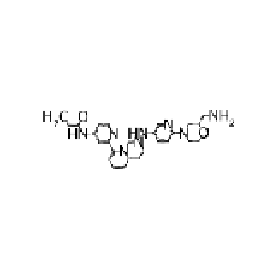 C=CC(=O)Nc1ccnc(C2=CC=CC3=CCN(Nc4ccc(N5CCO[C@H](CN)C5)nc4)CN32)c1